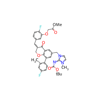 COC(=O)COc1cc(C=C2COc3c(cc(Cn4ccn(C)c4=NC(=O)OC(C)(C)C)cc3-c3ccc(F)cc3C)C2=O)ccc1F